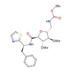 CO[C@H]1[C@H](OC)[C@@H](CNC(=O)OC(C)(C)C)O[C@@H]1C(=O)N[C@@H](Cc1ccccc1)c1nccs1